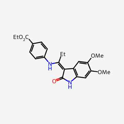 CCOC(=O)c1ccc(N/C(CC)=C2\C(=O)Nc3cc(OC)c(OC)cc32)cc1